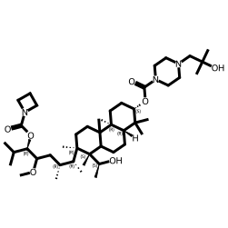 COC(C[C@@H](C)[C@@H](C)[C@@]1(C)CCC23C[C@@]24CC[C@H](OC(=O)N2CCN(CC(C)(C)O)CC2)C(C)(C)[C@@H]4CCC3[C@]1(C)[C@H](C)O)[C@H](OC(=O)N1CCC1)C(C)C